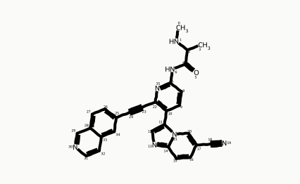 CNC(C)C(=O)Nc1ccc(-c2cnc3ccc(C#N)cn23)c(C#Cc2ccc3cnccc3c2)n1